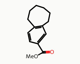 COC(=O)c1ccc2c(c1)CCCCCC2